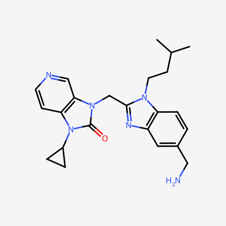 CC(C)CCn1c(Cn2c(=O)n(C3CC3)c3ccncc32)nc2cc(CN)ccc21